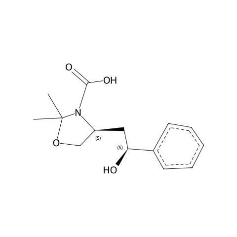 CC1(C)OC[C@H](C[C@H](O)c2ccccc2)N1C(=O)O